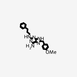 COc1ccc(Cc2nc3c(N)nc(NCCCc4ccccc4)nc3[nH]2)cc1